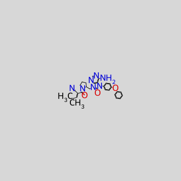 CC(C)C=C(C#N)C(=O)N1CCCC1Cn1c(=O)n(-c2ccc(Oc3ccccc3)cc2)c2c(N)ncnc21